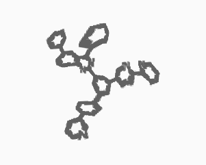 c1ccc(-c2ccc3nc(-c4cc(-c5ccc(-c6cccnc6)cc5)cc(-c5ccc(-c6ccccn6)nc5)c4)nc(-c4ccccc4)c3c2)cc1